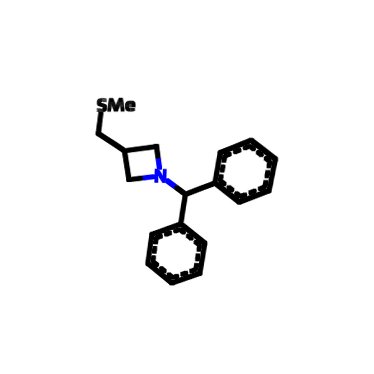 CSCC1CN(C(c2ccccc2)c2ccccc2)C1